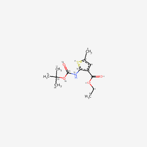 CCOC(=O)c1cc(C)sc1NC(=O)OC(C)(C)C